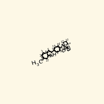 Cc1ccc2cc(-c3ccc(N4CCCS4(=O)=O)cc3)[nH]c2c1